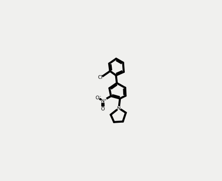 O=[N+]([O-])c1cc(-c2ccccc2Cl)ccc1N1CCCC1